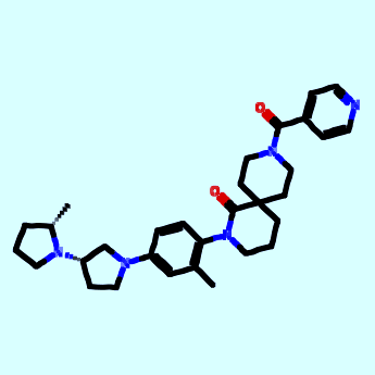 Cc1cc(N2CC[C@H](N3CCC[C@@H]3C)C2)ccc1N1CCCC2(CCN(C(=O)c3ccncc3)CC2)C1=O